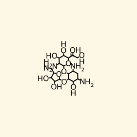 NCC1OC(OC2C(O)C(N)CC(N)C2OC2OC([C@H](O)CO)C(O)C(O)C2N)C(O)C1O